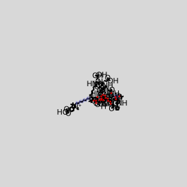 CC[N+]1=C(/C=C/C=C/C=C/C=C2/N(CCCCCC(=O)N[C@H](CCC(=O)O)C(=O)N[C@H](CCC(=O)O)C(=O)N[C@H](CCC(=O)O)C(=O)N[C@H](CCC(=O)O)C(=O)N[C@H](CCC(=O)O)C(=O)N[C@@H](Cc3ccc(/C(C)=N/OC)cc3)C(=O)NCCOCC(=O)N3CCC[C@H]3C(=O)N[C@@H](CC(C)C)C(=O)NCC(=O)N[C@@H](CSC)C(=O)NC)c3ccc(S(=O)(=O)O)cc3C2(C)C)C(C)(C)c2cc(S(=O)(=O)O)ccc21